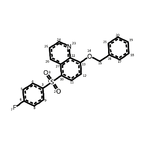 O=S(=O)(c1ccc(F)cc1)c1ccc(OCc2ccccc2)c2ncccc12